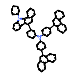 c1ccc(-n2c3ccccc3c3c(-c4cccc(N(c5ccc(-c6cc7ccccc7c7ccccc67)cc5)c5ccc(-c6cc7ccccc7c7ccccc67)cc5)c4)cc4ccccc4c32)cc1